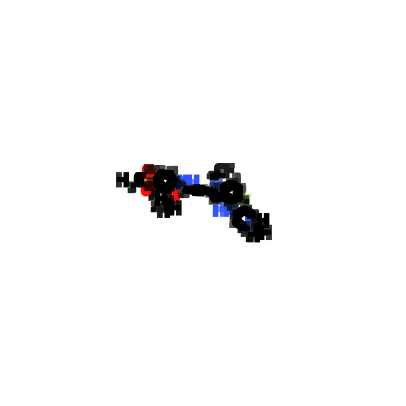 [2H]C([2H])([2H])Oc1cc(S(C)(=O)=O)ccc1NCC#Cc1cc2c(N[C@@H]3CCN(C([2H])([2H])[2H])C[C@@H]3F)cccc2n1CC(F)(F)F